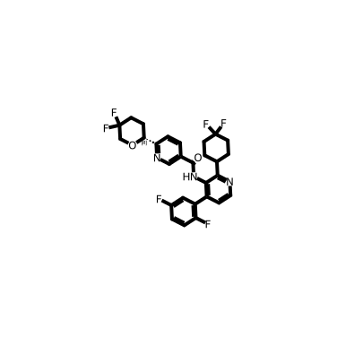 O=C(Nc1c(-c2cc(F)ccc2F)ccnc1C1CCC(F)(F)CC1)c1ccc([C@H]2CCC(F)(F)CO2)nc1